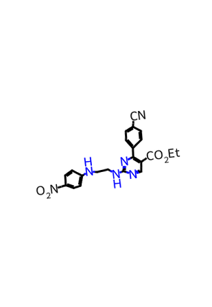 CCOC(=O)c1cnc(NCCNc2ccc([N+](=O)[O-])cc2)nc1-c1ccc(C#N)cc1